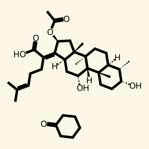 CC(=O)O[C@H]1C[C@@]2(C)[C@@H](C[C@@H](O)[C@H]3[C@@]4(C)CC[C@@H](O)[C@@H](C)[C@@H]4CC[C@@]32C)/C1=C(\CCC=C(C)C)C(=O)O.O=C1CCCCC1